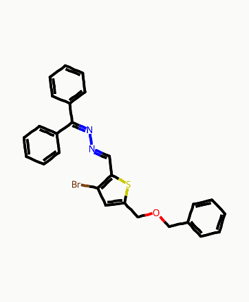 Brc1cc(COCc2ccccc2)sc1/C=N/N=C(c1ccccc1)c1ccccc1